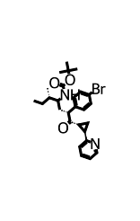 CC[C@H](C)C(C[C@@H](C(=O)[C@@H]1C[C@H]1c1ccccn1)c1ccc(Br)cc1)NC(=O)OC(C)(C)C